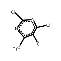 Cc1nc(Cl)nc(Cl)c1Cl